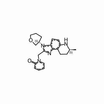 C[C@H]1CCc2c(ccc3c2nc(Cn2ccccc2=O)n3[C@H]2CCCOC2)N1